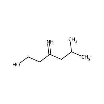 [CH2]C(C)CC(=N)CCO